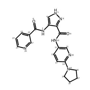 O=C(Nc1c[nH]nc1C(=O)Nc1ccc(N2CCCC2)nc1)c1cccnc1